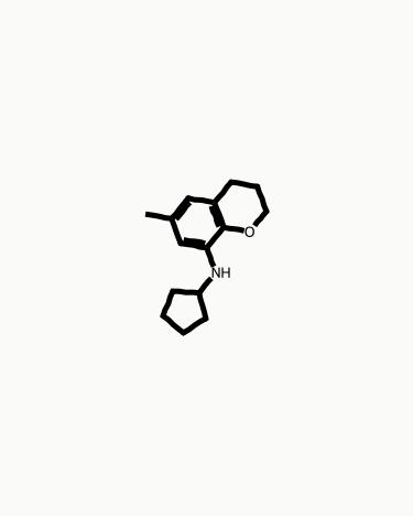 Cc1cc2c(c(NC3CCCC3)c1)OCCC2